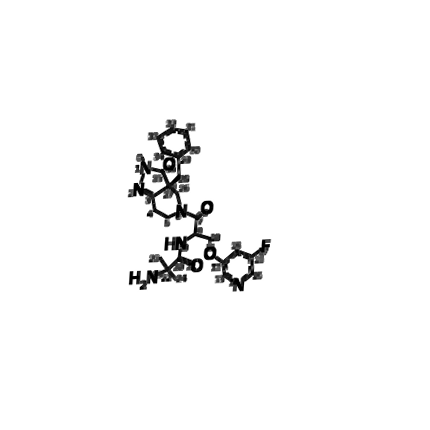 CN1N=C2CCN(C(=O)C(COc3cncc(F)c3)NC(=O)C(C)(C)N)C[C@@]2(Cc2ccccc2)C1=O